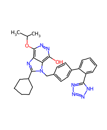 CC(C)Oc1nnc(O)c2c1nc(C1CCCCC1)n2Cc1ccc(-c2ccccc2-c2nnn[nH]2)cc1